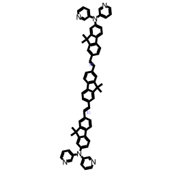 CC1(C)c2cc(/C=C/c3ccc4c(c3)C(C)(C)c3cc(N(c5cccnc5)c5cccnc5)ccc3-4)ccc2-c2ccc(/C=C/c3ccc4c(c3)C(C)(C)c3cc(N(c5cccnc5)c5cccnc5)ccc3-4)cc21